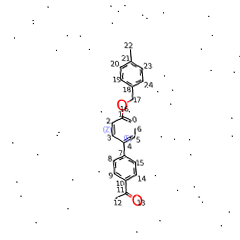 C=C(/C=C\C(=C/C)c1ccc(C(C)=O)cc1)OCc1ccc(C)cc1